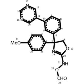 COc1ccc(C2(c3cccc(-c4cncnc4)c3)COC(NOC=O)=N2)cc1